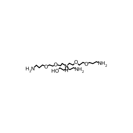 NCCCOCCOCCNCCOCCOCCCN.NCCOCCO